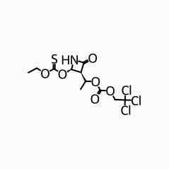 CCOC(=S)O[C@H]1NC(=O)[C@H]1C(C)OC(=O)OCC(Cl)(Cl)Cl